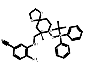 CC(C)(C)[Si](O[C@@H]1CCC2(C[C@@]1(C)CNc1cc(C#N)ccc1N)OCCO2)(c1ccccc1)c1ccccc1